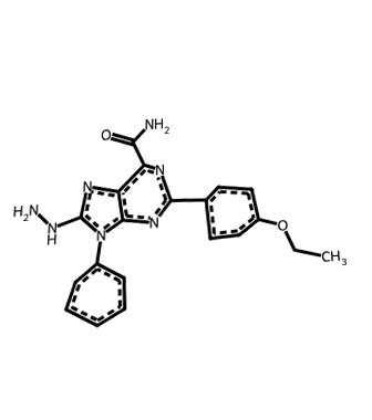 CCOc1ccc(-c2nc(C(N)=O)c3nc(NN)n(-c4ccccc4)c3n2)cc1